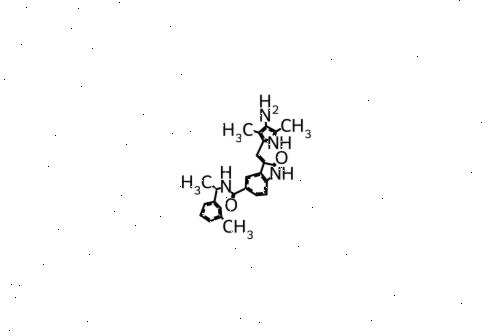 Cc1cccc([C@@H](C)NC(=O)c2ccc3c(c2)/C(=C/c2[nH]c(C)c(N)c2C)C(=O)N3)c1